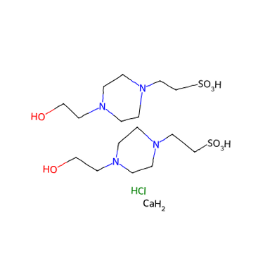 Cl.O=S(=O)(O)CCN1CCN(CCO)CC1.O=S(=O)(O)CCN1CCN(CCO)CC1.[CaH2]